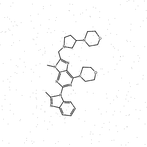 Cc1nc2ccccc2n1-c1nc(N2CCOCC2)c2nc(CN3CCC(N4CCOCC4)C3)n(C)c2n1